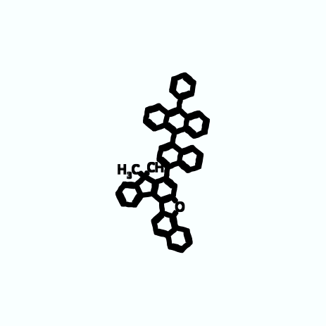 CC1(C)c2ccccc2-c2c1c(-c1ccc(-c3c4ccccc4c(-c4ccccc4)c4ccccc34)c3ccccc13)cc1oc3c4ccccc4ccc3c21